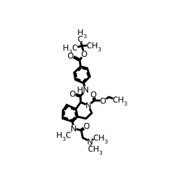 CCOC(=O)N1CCc2c(cccc2N(C)C(=O)CN(C)C)C1C(=O)Nc1ccc(C(=O)OC(C)(C)C)cc1